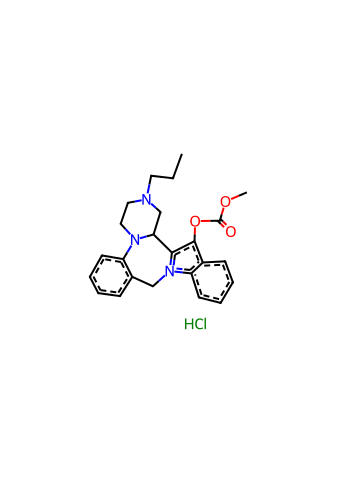 CCCN1CCN2c3ccccc3Cn3c(c(OC(=O)OC)c4ccccc43)C2C1.Cl